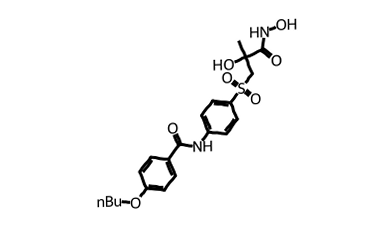 CCCCOc1ccc(C(=O)Nc2ccc(S(=O)(=O)CC(C)(O)C(=O)NO)cc2)cc1